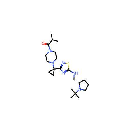 CC(C)C(=O)N1CCN(C2(c3nsc(NC[C@@H]4CCCN4C(C)(C)C)n3)CC2)CC1